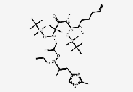 C=CCCC[C@H](C)[C@H](O[Si](C)(C)C(C)(C)C)[C@@H](C)C(=O)C(C)(C)[C@H](CC(=O)O[C@@H](CC=C)C(C)=Cc1csc(C)n1)O[Si](C)(C)C(C)(C)C